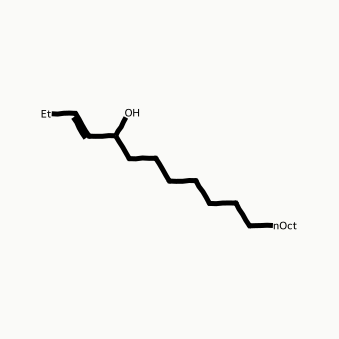 CCC=CC(O)CCCCCCCCCCCCCCC